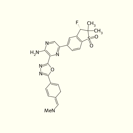 CNC=C1C=CC(c2nnc(-c3nc(-c4ccc5c(c4)[C@H](F)C(C)(C)S5(=O)=O)cnc3N)o2)=CC1